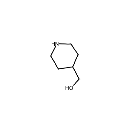 O[CH]C1CCNCC1